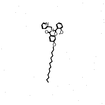 CCCCCCCCCCCCCCOc1ccc(C(=O)N(Cc2ccccn2)C(=O)c2ccccc2OC)cc1